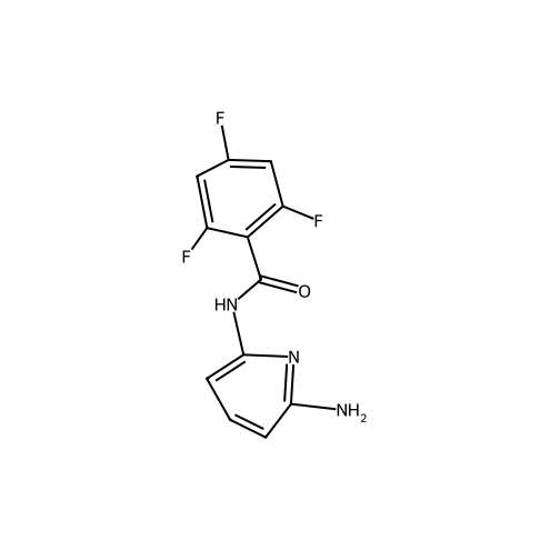 Nc1cccc(NC(=O)c2c(F)cc(F)cc2F)n1